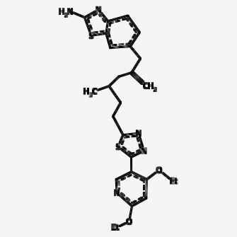 C=C(Cc1ccc2nc(N)sc2c1)CC(C)CCc1nnc(-c2cnc(OCC)cc2OCC)s1